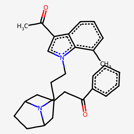 CC(=O)c1cn(CCCN2C3CCC2CC(CC(=O)c2ccccc2)C3)c2c(C)cccc12